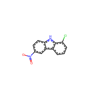 O=[N+]([O-])c1ccc2[nH]c3c(Cl)cccc3c2c1